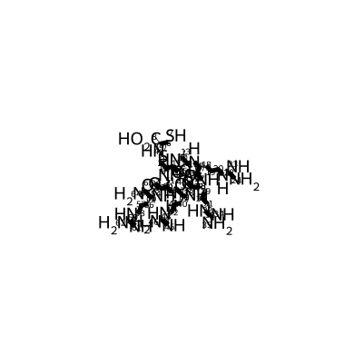 CC(=O)N[C@H](CSN[C@@H](CS)C(=O)O)C(=O)N[C@H](C)C(=O)N[C@H](CCCNC(=N)N)C(=O)N[C@H](CCCNC(=N)N)C(=O)N[C@H](CCCNC(=N)N)C(=O)N[C@H](C)C(=O)N[C@H](CCCNC(=N)N)C(N)=O